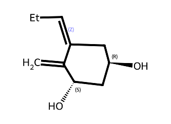 C=C1/C(=C\CC)C[C@@H](O)C[C@@H]1O